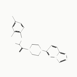 CC(Oc1ccc(Cl)cc1Cl)C(=O)N1CCN(c2ccc3nncn3n2)CC1